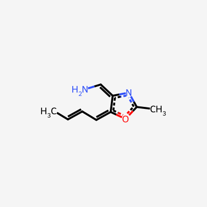 C/C=C/C=c1/oc(C)n/c1=C/N